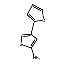 Nc1cc(-c2ccco2)cs1